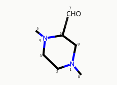 CN1CCN(C)C(C=O)C1